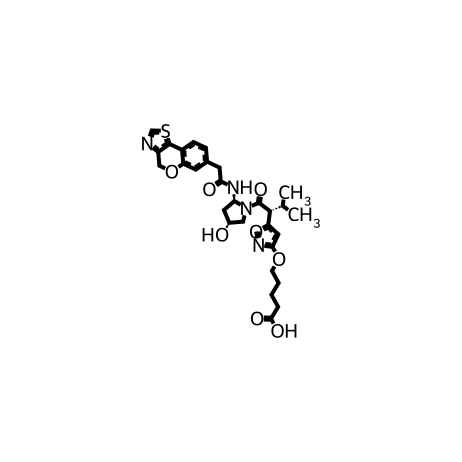 CC(C)[C@@H](C(=O)N1C[C@H](O)C[C@H]1NC(=O)Cc1ccc2c(c1)OCc1ncsc1-2)c1cc(OCCCCC(=O)O)no1